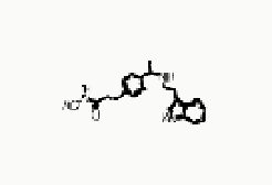 CC(NCCc1c[nH]c2ccccc12)c1ccc(CCC(=O)NO)cc1